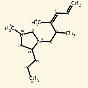 C=C/C=C(/C)C(C)CN1CN(C)CC1CCC